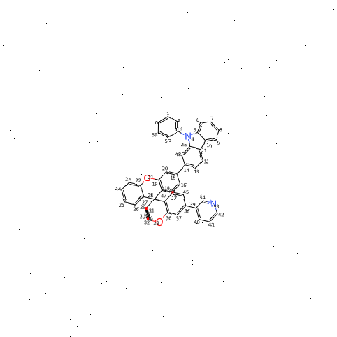 c1ccc(-n2c3ccccc3c3ccc(-c4ccc5c(c4)Oc4ccccc4C54c5ccccc5Oc5cc(-c6cccnc6)ccc54)cc32)cc1